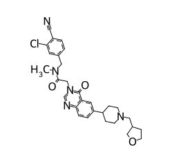 CN(Cc1ccc(C#N)c(Cl)c1)C(=O)Cn1cnc2ccc(C3CCN(CC4CCOC4)CC3)cc2c1=O